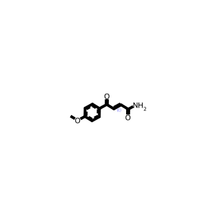 COc1ccc(C(=O)/C=C/C(N)=O)cc1